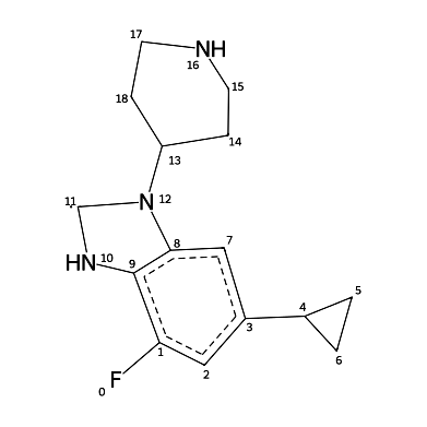 Fc1cc(C2CC2)cc2c1N[CH]N2C1CCNCC1